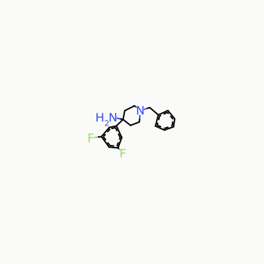 NC1(c2cc(F)cc(F)c2)CCN(Cc2ccccc2)CC1